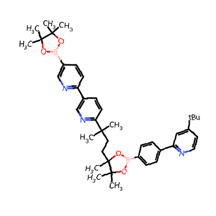 CC(C)(C)c1ccnc(-c2ccc(B3OC(C)(C)C(C)(CCC(C)(C)c4ccc(-c5ccc(B6OC(C)(C)C(C)(C)O6)cn5)cn4)O3)cc2)c1